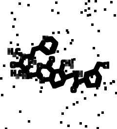 Cc1c(NC(=O)c2cccc(CCl)c2)ccc2nc(NC(C)(C)C(=O)N(C)CCc3ccccn3)oc(=O)c12